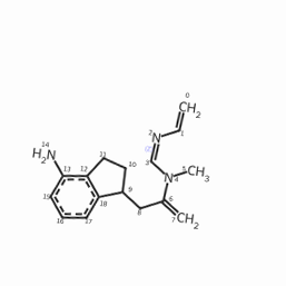 C=C/N=C\N(C)C(=C)CC1CCc2c(N)cccc21